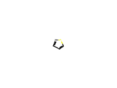 b1cccs1